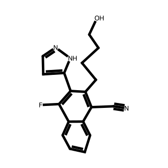 N#Cc1c(CCCCO)c(-c2ccn[nH]2)c(F)c2ccccc12